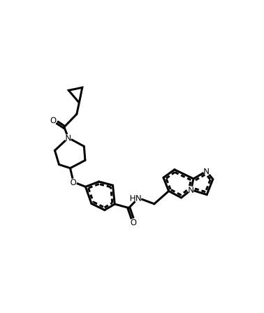 O=C(NCc1ccc2nccn2c1)c1ccc(OC2CCN(C(=O)CC3CC3)CC2)cc1